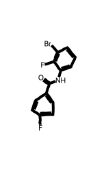 O=C(Nc1cccc(Br)c1F)c1ccc(F)cc1